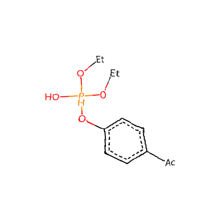 CCO[PH](O)(OCC)Oc1ccc(C(C)=O)cc1